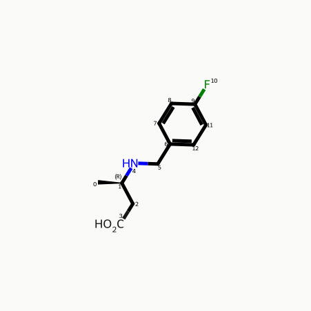 C[C@H](CC(=O)O)NCc1ccc(F)cc1